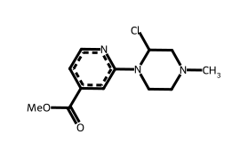 COC(=O)c1ccnc(N2CCN(C)CC2Cl)c1